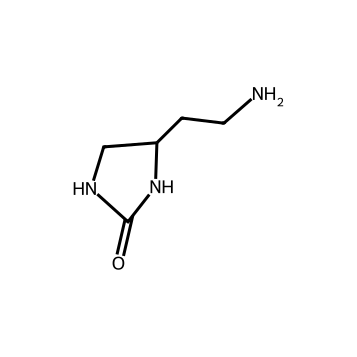 NCCC1CNC(=O)N1